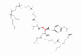 CCCCCC(C)(CCC)C(=O)CCC(C)(C)OCCC(C)(C)OCCC(=O)NC(C(=O)NCC(=O)Nc1ccc(C[C@@H](C)NC(=O)[C@H](C)CCN(CCC)C(=O)CCCN(C)C(=O)C(NC(=O)CN(C)C)C(C)C)cc1)C(C)C